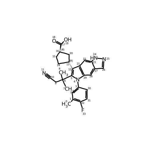 Cc1cc(-n2c(C(C)(C)CC#N)c([C@@H]3CC[C@@H](C(=O)O)C3)c3cc4[nH]ncc4cc32)ccc1F